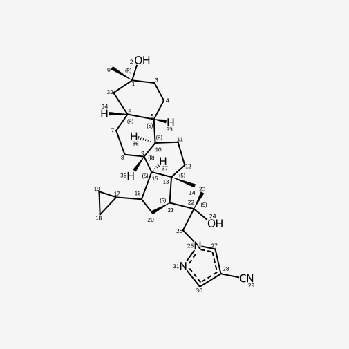 C[C@@]1(O)CC[C@H]2[C@H](CC[C@@H]3[C@@H]2CC[C@@]2(C)[C@H]3C(C3CC3)C[C@@H]2[C@](C)(O)Cn2cc(C#N)cn2)C1